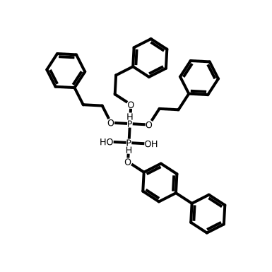 O[PH](O)(Oc1ccc(-c2ccccc2)cc1)[PH](OCCc1ccccc1)(OCCc1ccccc1)OCCc1ccccc1